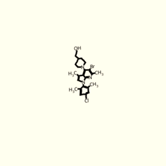 Cc1cc(Cl)cc(C)c1-n1cc(C)c2c(N3CCC(CCO)CC3)c(Br)c(C)nc21